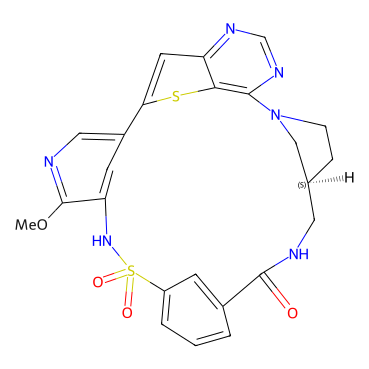 COc1ncc2cc1NS(=O)(=O)c1cccc(c1)C(=O)NC[C@@H]1CCN(C1)c1ncnc3cc-2sc13